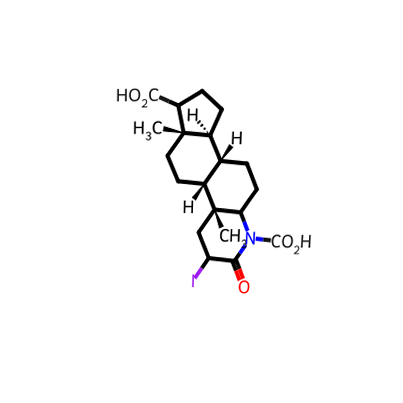 C[C@]12CC(I)C(=O)N(C(=O)O)C1CC[C@@H]1[C@H]2CC[C@]2(C)C(C(=O)O)CC[C@@H]12